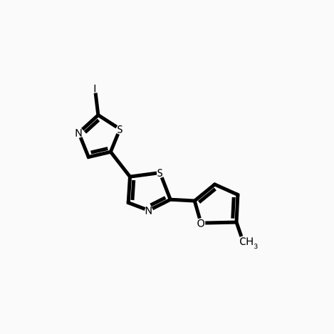 Cc1ccc(-c2ncc(-c3cnc(I)s3)s2)o1